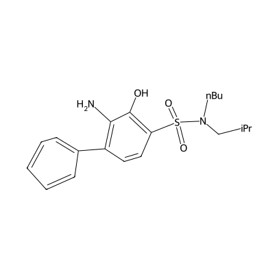 CCCCN(CC(C)C)S(=O)(=O)c1ccc(-c2ccccc2)c(N)c1O